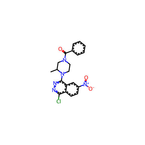 CC1CN(C(=O)c2ccccc2)CCN1c1nnc(Cl)c2ccc([N+](=O)[O-])cc12